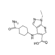 CCn1ncc2c(NC3CCC(C(N)=O)CC3)c(C(=O)O)cnc21